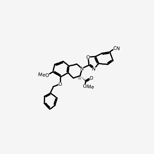 COC(=O)[C@@H]1Cc2c(ccc(OC)c2OCc2ccccc2)CN1c1nc2ccc(C#N)cc2o1